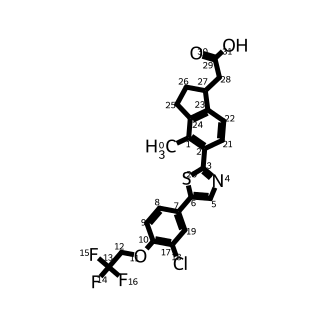 Cc1c(-c2ncc(-c3ccc(OCC(F)(F)F)c(Cl)c3)s2)ccc2c1CCC2CC(=O)O